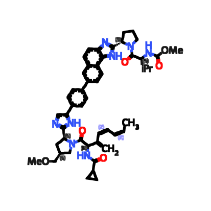 C=C(/C=C\C=C/C)[C@@H](NC(=O)C1CC1)C(=O)N1C[C@@H](COC)C[C@H]1c1ncc(-c2ccc(-c3ccc4c(ccc5nc([C@@H]6CCCN6C(=O)[C@@H](NC(=O)OC)C(C)C)[nH]c54)c3)cc2)[nH]1